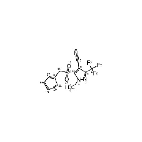 Cn1nc(C(F)(F)F)c(C#N)c1S(=O)(=O)Cc1ccccc1